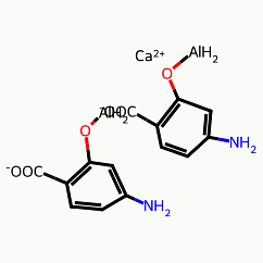 Nc1ccc(C(=O)[O-])c([O][AlH2])c1.Nc1ccc(C(=O)[O-])c([O][AlH2])c1.[Ca+2]